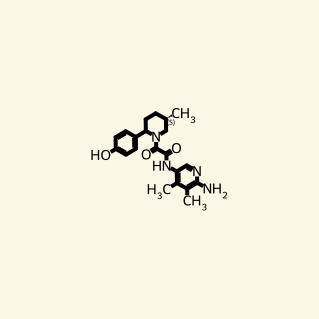 Cc1c(NC(=O)C(=O)N2C[C@@H](C)CCC2c2ccc(O)cc2)cnc(N)c1C